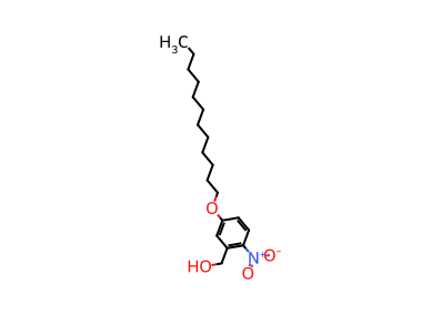 CCCCCCCCCCCCOc1ccc([N+](=O)[O-])c(CO)c1